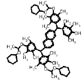 Cc1cc(C(c2ccc3cc(C(c4cc(C)c(OC(C)OC5CCCCC5)c(C)c4C)c4cc(C)c(OC(C)OC5CCCCC5)c(C)c4C)ccc3c2)c2cc(C)c(OC(C)OC3CCCCC3)c(C)c2C)c(C)c(C)c1O